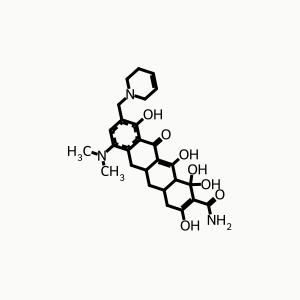 CN(C)c1cc(CN2CC=CCC2)c(O)c2c1CC1CC3CC(O)=C(C(N)=O)C(O)(O)C3C(O)=C1C2=O